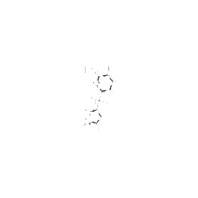 Cc1cc(C(C)(C)c2ccc(F)c(C(C)C)n2)nn1C